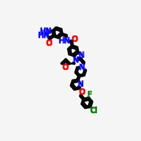 O=C(NCc1ccc2[nH][nH]c(=O)c2c1)c1ccc2c(c1)nc(CN1CCC(c3cccc(OCc4ccc(Cl)cc4F)n3)CC1)n2C[C@@H]1CCO1